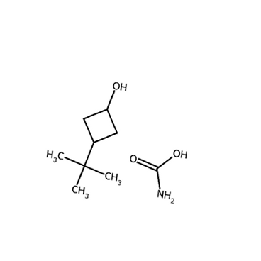 CC(C)(C)C1CC(O)C1.NC(=O)O